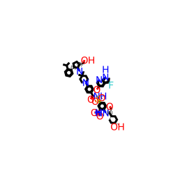 CC(C)c1ccccc1[C@@H]1CC[C@@H](CO)C1N1CC2(CCN(c3ccc(C(=O)NS(=O)(=O)c4cc5c(c([N+](=O)[O-])c4)N[C@@H]([C@H]4CC[C@](C)(O)CC4)CO5)c(Oc4cnc5[nH]cc(F)c5c4)c3)CC2)C1